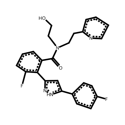 O=C(c1cccc(F)c1-c1cc(-c2ccc(F)cc2)[nH]n1)N(CCO)CCc1ccccn1